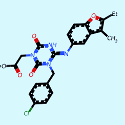 CCc1oc2ccc(/N=c3\[nH]c(=O)n(CC(=O)OC)c(=O)n3Cc3ccc(Cl)cc3)cc2c1C